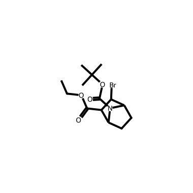 CCOC(=O)C1C(Br)C2CCC1N2C(=O)OC(C)(C)C